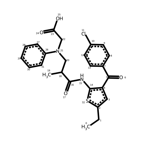 CCc1cc(C(=O)c2ccc(Cl)cc2)c(NC(=O)C(C)CN(CC(=O)O)c2ccccc2)s1